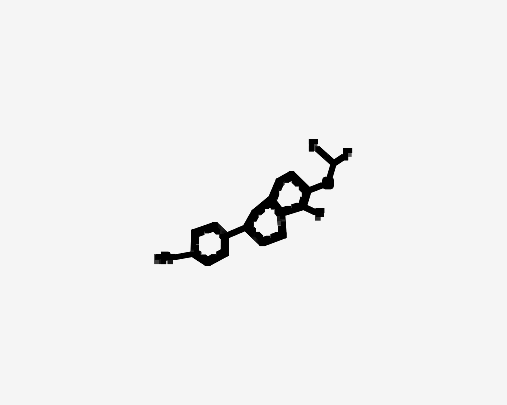 CCCc1ccc(-c2ccc3c(F)c(OC(F)F)ccc3c2)cc1